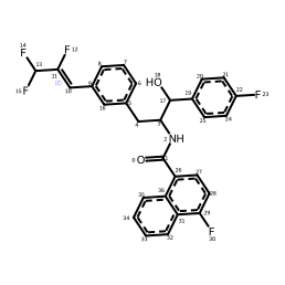 O=C(NC(Cc1cccc(/C=C(\F)C(F)F)c1)C(O)c1ccc(F)cc1)c1ccc(F)c2ccccc12